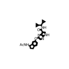 CC(=O)N[C@@H]1CCc2ccc(Oc3cnc4[nH]cc(C(=O)NC(C5CC5)C5CC5)c4n3)cc21